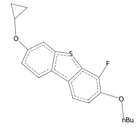 CCCCOc1ccc2c(sc3cc(OC4CC4)ccc32)c1F